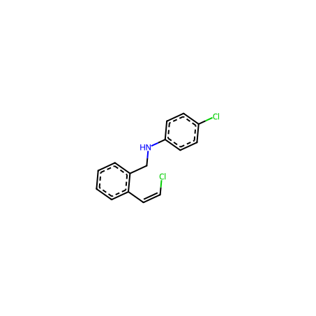 Cl/C=C\c1ccccc1CNc1ccc(Cl)cc1